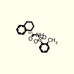 Cc1ccccc1S(=O)(=O)NC(=O)[C@H]1CCCc2ccccc21